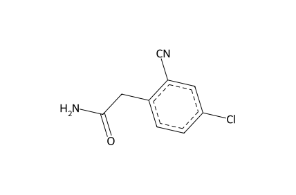 N#Cc1cc(Cl)ccc1CC(N)=O